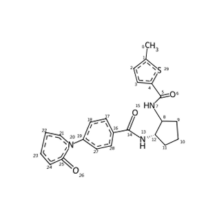 Cc1ccc(C(=O)NC2CCC[C@@H]2NC(=O)c2ccc(-n3ccccc3=O)cc2)s1